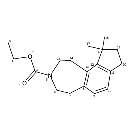 CCOC(=O)N1CCc2ccc3c(c2CC1)C(C)(C)CC3